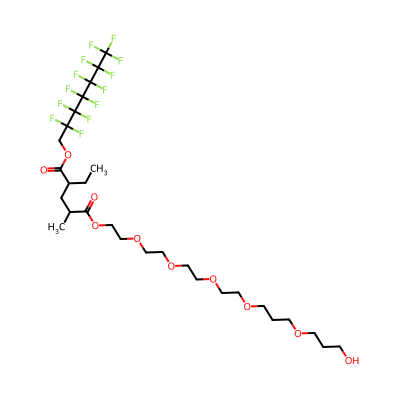 CCC(CC(C)C(=O)OCCOCCOCCOCCOCCCOCCCO)C(=O)OCC(F)(F)C(F)(F)C(F)(F)C(F)(F)C(F)(F)C(F)(F)F